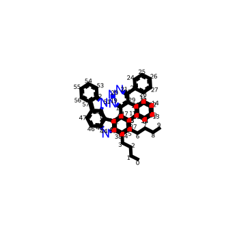 CCCCc1c(CCCC)c(-c2ccccc2)c(-c2nnnc(-c3ccccc3)c2-c2ccccc2-c2ccccc2)c2c1N=c1ccc3c(c1-2)N=c1ccccc1=3